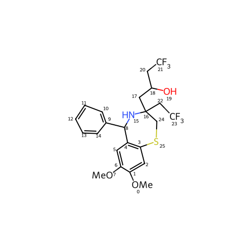 COc1cc2c(cc1OC)C(c1ccccc1)NC(CC(O)CC(F)(F)F)(CC(F)(F)F)CS2